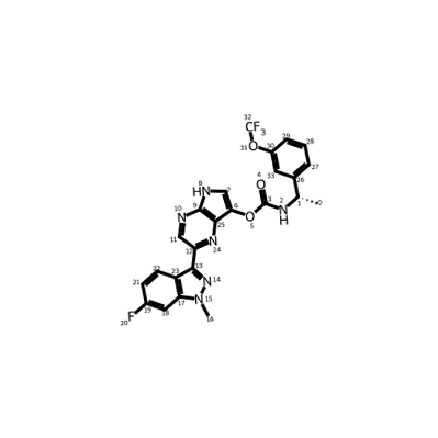 C[C@H](NC(=O)Oc1c[nH]c2ncc(-c3nn(C)c4cc(F)ccc34)nc12)c1cccc(OC(F)(F)F)c1